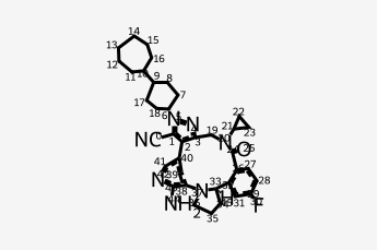 N#Cc1c2c(nn1C1CCC(C3CCCCCC3)CC1)CN(C1CC1)C(=O)c1ccc(F)cc1[C@H]1CCCN1c1cc-2cnc1N